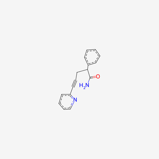 NC(=O)C(CC#Cc1ccccn1)c1ccccc1